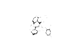 O=c1c2c(C(F)(F)F)nccc2nc(-c2ncccc2O)n1CCc1ccc(F)cc1F